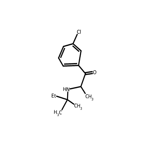 CCC(C)(C)NC(C)C(=O)c1cccc(Cl)c1